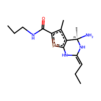 CCC=C1Nc2sc(C(=O)NCCC)c(C)c2[C@@](C)(N)N1